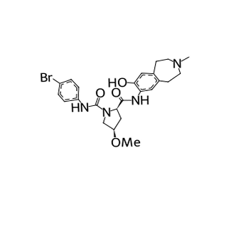 CO[C@@H]1C[C@H](C(=O)Nc2cc3c(cc2O)CCN(C)CC3)N(C(=O)Nc2ccc(Br)cc2)C1